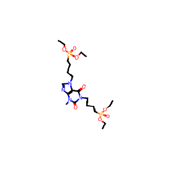 CCOP(=O)(CCCCn1c(=O)c2c(ncn2CCCCP(=O)(OCC)OCC)n(C)c1=O)OCC